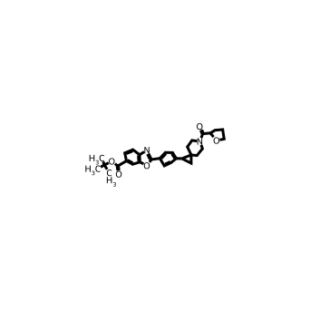 CC(C)(C)OC(=O)c1ccc2nc(-c3ccc(C4CC45CCN(C(=O)C4CCCO4)CC5)cc3)oc2c1